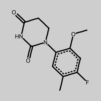 COc1cc(F)c(C)cc1N1CCC(=O)NC1=O